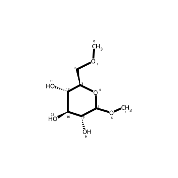 COC[C@H]1OC(OC)[C@H](O)[C@@H](O)[C@@H]1O